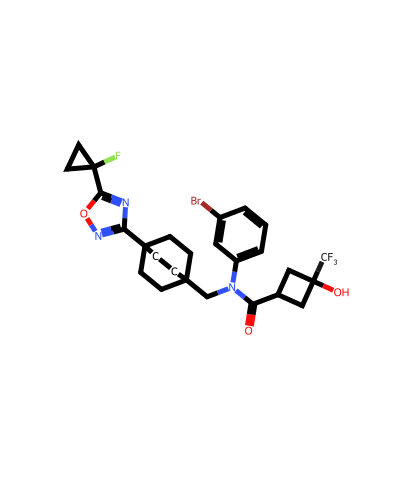 O=C(C1CC(O)(C(F)(F)F)C1)N(CC12CCC(c3noc(C4(F)CC4)n3)(CC1)CC2)c1cccc(Br)c1